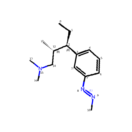 CC[C@@H](c1cccc(/N=N/C)c1)[C@@H](C)CN(C)C